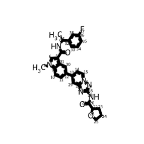 C[C@H](NC(=O)c1cn(C)c2ccc(-c3ccn4nc(NC(=O)C5CCCO5)nc4c3)cc12)c1cccc(F)c1